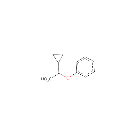 O=C(O)C(Oc1ccccc1)C1CC1